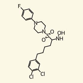 O=S(=O)(C(CCCCc1ccc(Cl)c(Cl)c1)NO)N1CCN(c2ccc(F)cc2)CC1